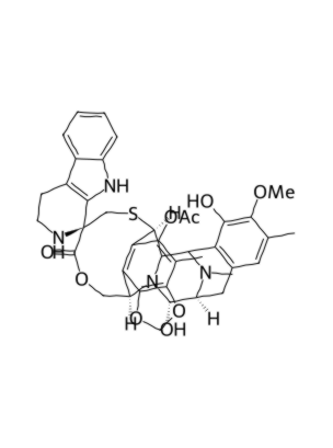 COc1c(C)cc2c(c1O)C1C3[C@@H]4SC[C@]5(NCCc6c5[nH]c5ccccc65)C(=O)OC[C@@H](c5c6c(c(C)c(OC(C)=O)c54)OCO6)N3[C@@H](O)[C@H](C2)N1C